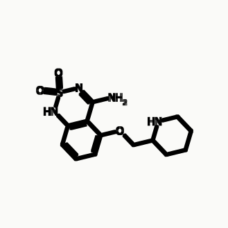 NC1=NS(=O)(=O)Nc2cccc(OCC3CCCCN3)c21